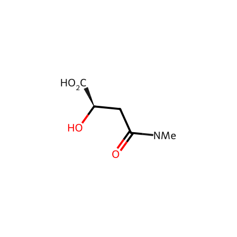 CNC(=O)C[C@@H](O)C(=O)O